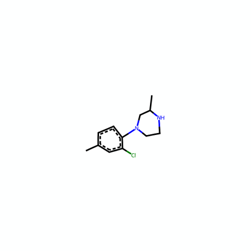 Cc1ccc(N2CCNC(C)C2)c(Cl)c1